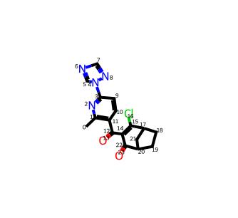 Cc1nc(-n2cncn2)ccc1C(=O)C1=C(Cl)C2CCC(C2)C1=O